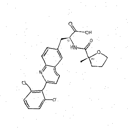 C[C@]1(C(=O)N[C@@H](Cc2ccc3nc(-c4c(Cl)cccc4Cl)ccc3c2)C(=O)O)CCCO1